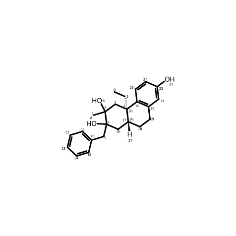 CC[C@@]12CC(C)(O)C(O)(Cc3ccccc3)C[C@H]1CCc1cc(O)ccc12